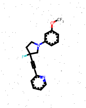 FC1(C#Cc2ccccn2)CCN(c2cccc(OC(F)(F)F)c2)C1